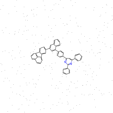 c1ccc(-c2cc(-c3ccc(-c4cc(-c5ccc6c(c5)-c5cccc7cccc-6c57)cc5ccccc45)cc3)nc(-c3ccccc3)n2)cc1